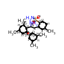 Cc1cc(C)c([C@@H](c2cc(C)ccc2S(N)(=O)=O)[C@H](N)c2c(C)cc(C)cc2C)c(C)c1